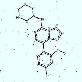 COc1cc(Br)ccc1-c1nnc(N[C@@H]2CCCNC2)n2nccc12